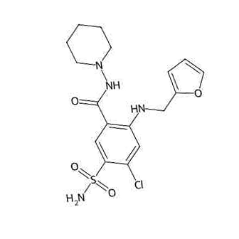 NS(=O)(=O)c1cc(C(=O)NN2CCCCC2)c(NCc2ccco2)cc1Cl